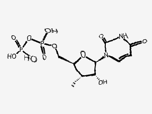 C[C@H]1[C@@H](O)[C@H](n2ccc(=O)[nH]c2=O)O[C@@H]1COP(=O)(O)OP(=O)(O)O